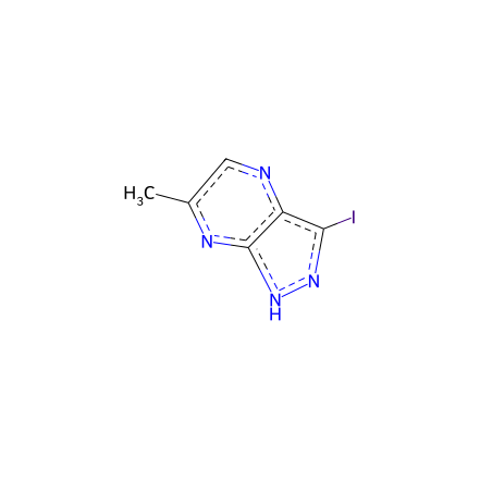 Cc1cnc2c(I)n[nH]c2n1